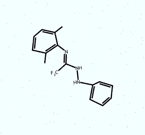 Cc1cccc(C)c1/N=C(/NNc1ccccc1)C(F)(F)F